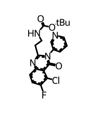 CC(C)(C)OC(=O)NCCc1nc2ccc(F)c(Cl)c2c(=O)n1-c1cccnc1